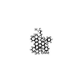 C/C=C/COC(=O)Cc1c(S)c(Oc2ccccc2)c(-c2ccccc2)c(C(=O)OCOC)c1C1=c2cc3c4c(c2Cc2c1cc1c5c2CCCN5CCC1)CCC[N+]=4CCC3